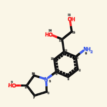 Nc1ccc(N2CCC(O)C2)cc1C(O)CO